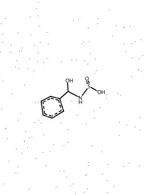 O=S(O)NC(O)c1ccccc1